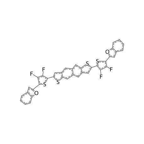 Fc1c(-c2cc3ccccc3o2)sc(-c2cc3cc4cc5sc(-c6sc(-c7cc8ccccc8o7)c(F)c6F)cc5cc4cc3s2)c1F